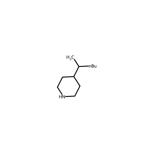 CCCCC(C)C1CCNCC1